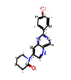 O=C1CCCCN1c1cnc2cnc(-c3ccc(O)cc3)nc2c1